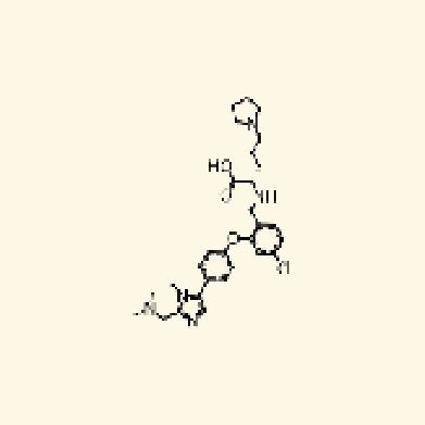 CN(C)Cc1ncc(-c2ccc(Oc3cc(Cl)ccc3CN[C@@H](CCCN3CCCC3)C(=O)O)cc2)n1C